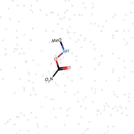 CONOC(=O)[N+](=O)[O-]